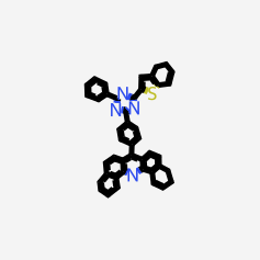 C1=Cc2sc(-c3nc(-c4ccccc4)nc(-c4ccc(-c5c6ccc7c(c6nc6c5ccc5ccccc56)C=CCC7)cc4)n3)cc2CC1